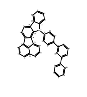 c1ccc(-c2cccc(-c3ccc(-n4c5ccccc5c5ccc6c(c54)-c4cccc5cccc-6c45)cc3)n2)nc1